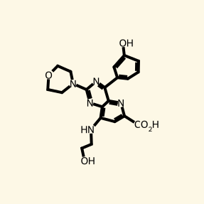 O=C(O)c1cc(NCCO)c2nc(N3CCOCC3)nc(-c3cccc(O)c3)c2n1